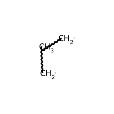 [CH2]CCCCCCCCCCCC(CC)CCCCCCCCCCC[CH2]